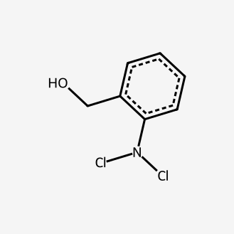 OCc1ccccc1N(Cl)Cl